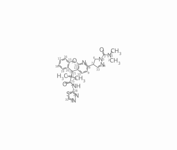 CN(C)C(=O)N1CC(c2ccc3c(n2)Oc2ccccc2[C@@H]3C(C)(C)C(=O)Nc2nncs2)C=N1